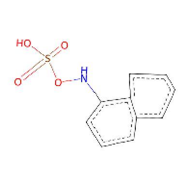 O=S(=O)(O)ONc1cccc2ccccc12